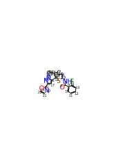 C=C(S/C(=C\C)NC(=O)c1ccccc1F)c1cc(-c2ncco2)nn1C